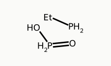 CCP.O=[PH2]O